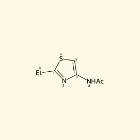 CCc1nc(NC(C)=O)cs1